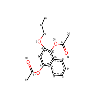 CCCOc1cc(OC(C)=O)c2ccccc2c1OC(C)=O